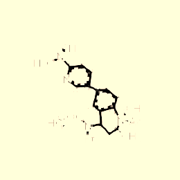 CCN(C(=O)[O-])C1C[C@H](C)[N@+](C)(C(C)=O)c2ccc(-c3ccc(N(C)C)nc3)cc21.Cl